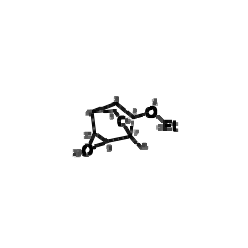 CCOC1CC2CCC1(C)C1OC21